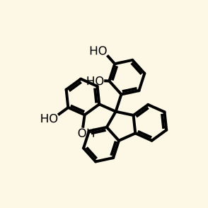 Oc1cccc(C2(c3cccc(O)c3O)c3ccccc3-c3ccccc32)c1O